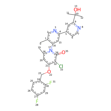 Cc1cnc(-c2ccnc(C(C)(C)O)c2)cc1-n1c(C)cc(OCc2ccc(F)cc2F)c(Cl)c1=O